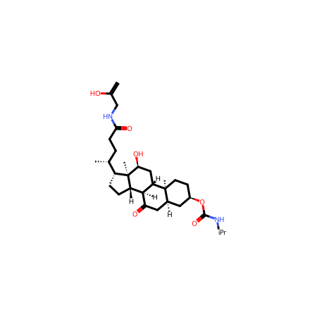 C=C(O)CNC(=O)CC[C@@H](C)[C@H]1CC[C@H]2[C@@H]3C(=O)C[C@@H]4C[C@H](OC(=O)NC(C)C)CC[C@]4(C)[C@H]3C[C@H](O)[C@]12C